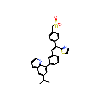 CC(C)c1cc(-c2cccc(/C=C(/c3ccc(C[SH](=O)=O)cc3)c3nccs3)c2)c2ncccc2c1